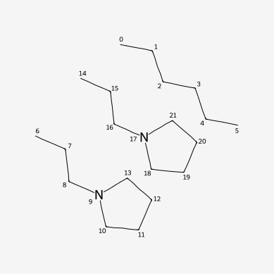 CCCCCC.CCCN1CCCC1.CCCN1CCCC1